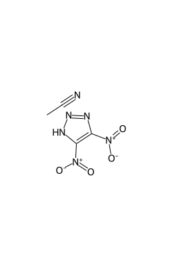 CC#N.O=[N+]([O-])c1nn[nH]c1[N+](=O)[O-]